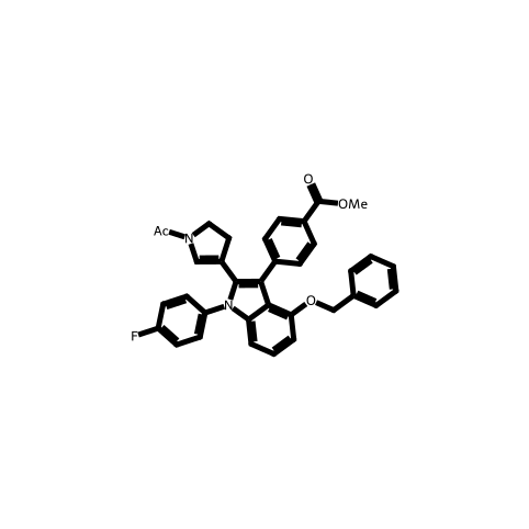 COC(=O)c1ccc(-c2c(C3=CN(C(C)=O)CC3)n(-c3ccc(F)cc3)c3cccc(OCc4ccccc4)c23)cc1